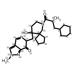 C[C@H](CC1CCCCC1)C(=O)N1CCC(O)(CC2N=Cc3cn(C)nc3C2=O)C2(CCCC2)C1